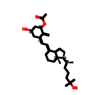 C=C1/C(=C\C=C2CCC[C@@]3(C)C2CC[C@@H]3[C@H](C)CCCC(C)(C)O)C[C@@H](O)C[C@H]1OC(C)=O